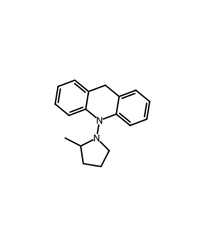 CC1CCCN1N1c2ccccc2Cc2ccccc21